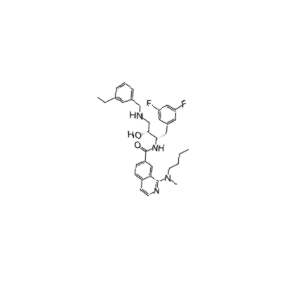 CCCCN(C)c1nccc2ccc(C(=O)N[C@@H](Cc3cc(F)cc(F)c3)[C@H](O)CNCc3cccc(CC)c3)cc12